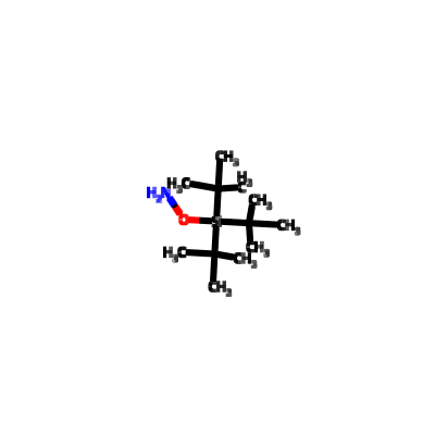 CC(C)(C)[Si](ON)(C(C)(C)C)C(C)(C)C